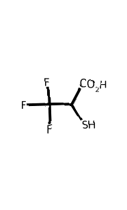 O=C(O)C(S)C(F)(F)F